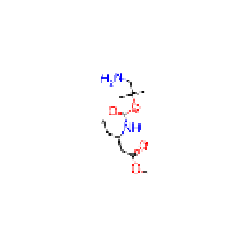 CCC(CC(=O)OC)NC(=O)OC(C)(C)CN